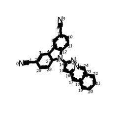 N#CC1=CC2c3cc(C#N)ccc3N(c3cc4cc5ccccc5cn4n3)C2C=C1